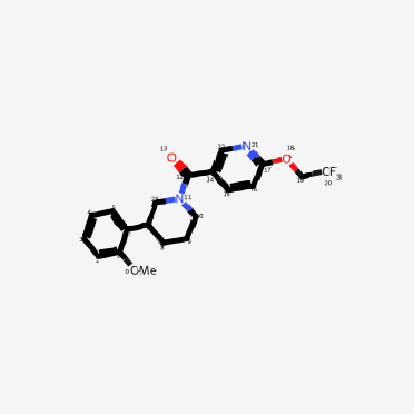 COc1ccccc1C1CCCN(C(=O)c2ccc(OCC(F)(F)F)nc2)C1